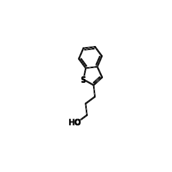 OCCCc1cc2ccccc2s1